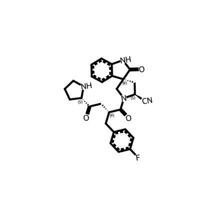 N#C[C@@H]1C[C@@]2(CN1C(=O)[C@@H](CC(=O)[C@@H]1CCCN1)Cc1ccc(F)cc1)C(=O)Nc1ccccc12